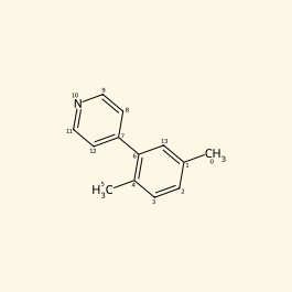 Cc1ccc(C)c(-c2ccncc2)c1